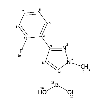 Cn1nc(-c2ccccc2F)cc1B(O)O